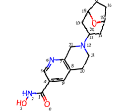 O=C(NO)c1cnc2c(c1)CCN(C1CC3CCC(C1)O3)C2